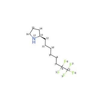 FC(F)(F)C(F)(F)CCCCCC[C@@H]1CCCN1